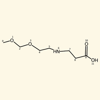 COCOCCNCCC(=O)O